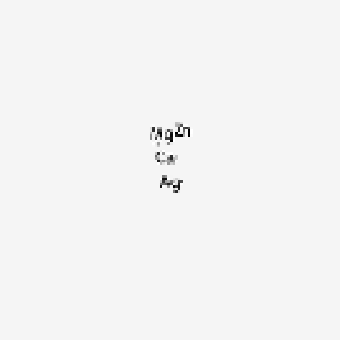 [Ag].[Ca].[Mg].[Zn]